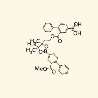 COC(=O)c1cc(B2OC(C)(C)C(C)(CCOC(=O)c3cc(B(O)O)ccc3-c3ccccc3)O2)ccc1-c1ccccc1